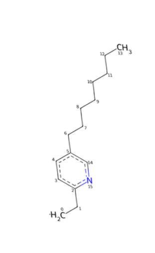 [CH2]Cc1ccc(CCCCCCCC)cn1